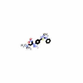 CN(C)CCC(=C[N+](=O)[O-])N(N)c1ccc(-c2nn(C)c(=NC3CCCCC3)s2)cc1